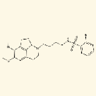 COc1cc2c3c(c1OC)CCC3N(CCCCNS(=O)(=O)c1ccccc1Br)CC2